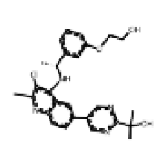 Cc1nc2ccc(-c3cnc(C(C)(C)O)nc3)cc2c(N[C@H](C)c2cccc(OCCO)c2)c1Cl